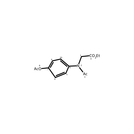 CCOC(=O)CN(C(C)=O)c1ccc(OC(C)=O)cc1